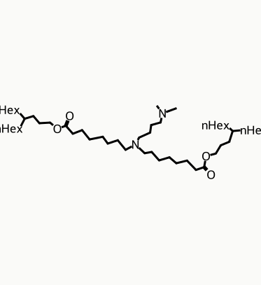 CCCCCCC(CCCCCC)CCCOC(=O)CCCCCCCN(CCCCCCCC(=O)OCCCC(CCCCCC)CCCCCC)CCCCN(C)C